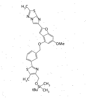 COc1cc(OCc2cccc(-c3nc(CO[Si](C)(C)C(C)(C)C)c(C)s3)c2)c2cc(-c3cn4nc(C)sc4n3)oc2c1